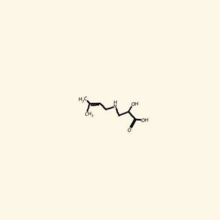 CC(C)=CCNCC(O)C(=O)O